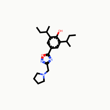 CCC(C)c1cc(-c2nc(CN3CCCC3)no2)cc(C(C)CC)c1O